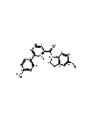 O=C(c1cncc(-c2ccc(C(F)(F)F)cc2)n1)N1CCc2cc(Cl)ccc21